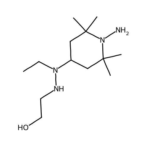 CCN(NCCO)C1CC(C)(C)N(N)C(C)(C)C1